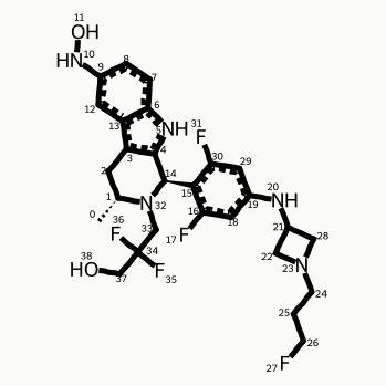 C[C@@H]1Cc2c([nH]c3ccc(NO)cc23)[C@@H](c2c(F)cc(NC3CN(CCCF)C3)cc2F)N1CC(F)(F)CO